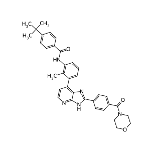 Cc1c(NC(=O)c2ccc(C(C)(C)C)cc2)cccc1-c1ccnc2[nH]c(-c3ccc(C(=O)N4CCOCC4)cc3)nc12